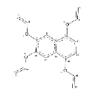 C=COc1cc2c(OC=C)ccc(OC=C)c2cc1OC=C